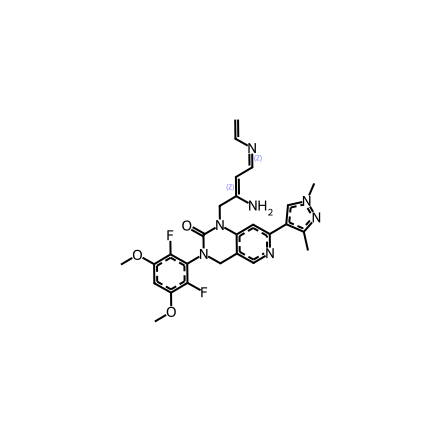 C=C/N=C\C=C(/N)CN1C(=O)N(c2c(F)c(OC)cc(OC)c2F)Cc2cnc(-c3cn(C)nc3C)cc21